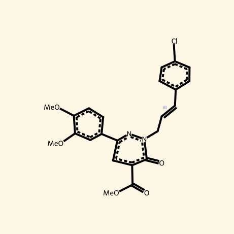 COC(=O)c1cc(-c2ccc(OC)c(OC)c2)nn(C/C=C/c2ccc(Cl)cc2)c1=O